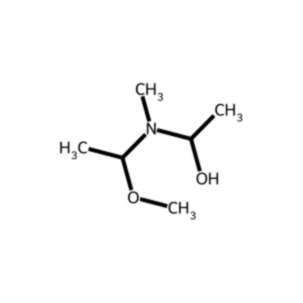 COC(C)N(C)C(C)O